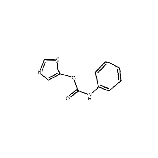 O=C(Nc1ccccc1)Oc1cncs1